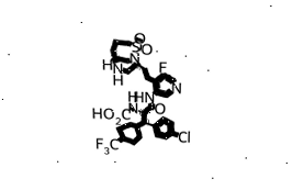 O=C(O)N[C@H](C(=O)Nc1cncc(F)c1CC[C@H]1CN[C@@H]2CCCS(=O)(=O)N1C2)[C@@H](c1ccc(Cl)cc1)C1CCC(C(F)(F)F)CC1